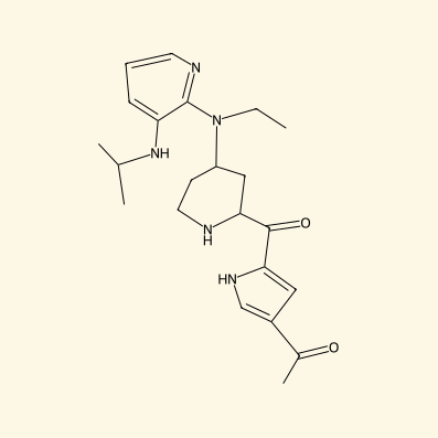 CCN(c1ncccc1NC(C)C)C1CCNC(C(=O)c2cc(C(C)=O)c[nH]2)C1